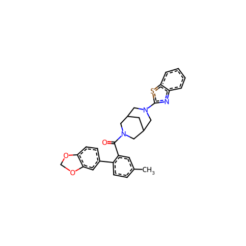 Cc1ccc(-c2ccc3c(c2)OCO3)c(C(=O)N2CC3CC(C2)CN(c2nc4ccccc4s2)C3)c1